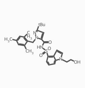 Cc1cc(C)c(Cn2nc(C(C)(C)C)cc2C(=O)NS(=O)(=O)c2cccc3c2ccn3CCO)c(C)c1